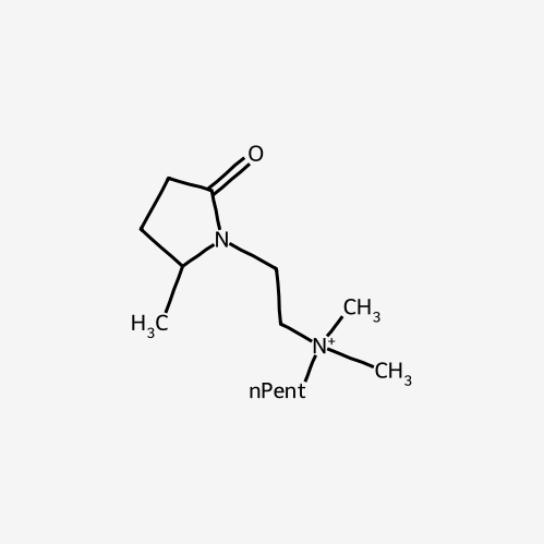 CCCCC[N+](C)(C)CCN1C(=O)CCC1C